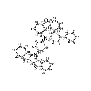 C1=C(N(c2ccc(-c3ccccc3)cc2)c2cccc3oc4ccccc4c23)CCC(N2c3c(sc4ccccc34)C3Sc4ccccc4C32)=C1